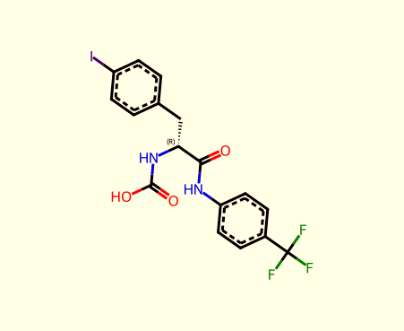 O=C(O)N[C@H](Cc1ccc(I)cc1)C(=O)Nc1ccc(C(F)(F)F)cc1